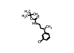 CN(CCNC(=O)OC(C)(C)C)c1cccc(Cl)c1